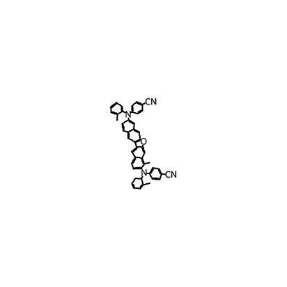 CC1=CC=CCC1N(c1ccc(C#N)cc1)c1ccc2cc3c(cc2c1C)oc1cc2cc(N(c4ccc(C#N)cc4)c4ccccc4C)ccc2cc13